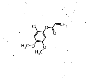 C=CC(=O)Oc1cc(OC)c(OC)cc1Cl